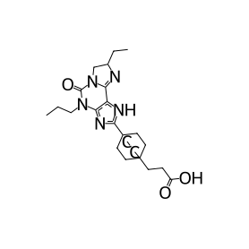 CCCN1C(=O)N2CC(CC)N=C2c2[nH]c(C34CCC(CCC(=O)O)(CC3)CC4)nc21